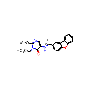 COc1ncc(N[C@H](C)c2ccc3oc4ccccc4c3c2)c(=O)n1CC(=O)O